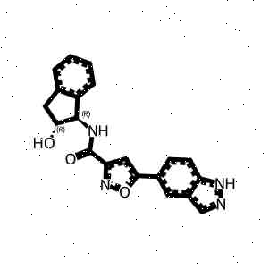 O=C(N[C@@H]1c2ccccc2C[C@H]1O)c1cc(-c2ccc3[nH]ncc3c2)on1